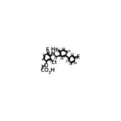 CCc1c(OCC(=O)O)ccc(F)c1NCc1cc(-c2cccc(F)c2)ccc1F